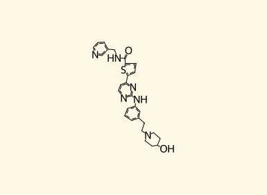 O=C(NCc1cccnc1)c1ccc(-c2ccnc(Nc3cccc(CCN4CCC(O)CC4)c3)n2)s1